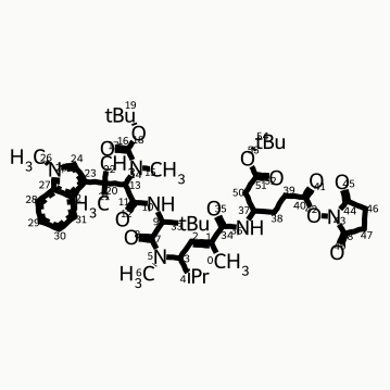 C/C(=C\C(C(C)C)N(C)C(=O)C(NC(=O)C(N(C)C(=O)OC(C)(C)C)C(C)(C)c1cn(C)c2ccccc12)C(C)(C)C)C(=O)NC(CCC(=O)ON1C(=O)CCC1=O)CC(=O)OC(C)(C)C